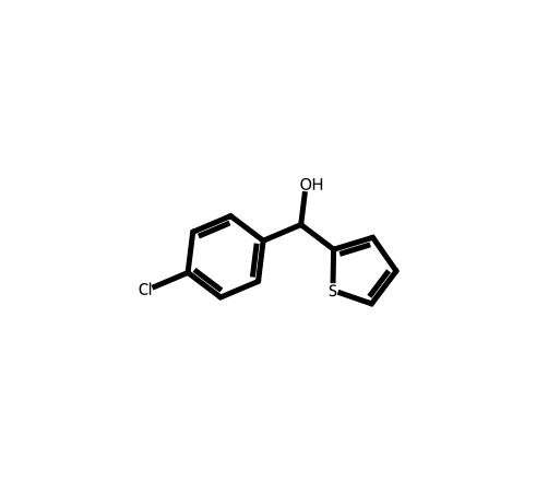 OC(c1ccc(Cl)cc1)c1cccs1